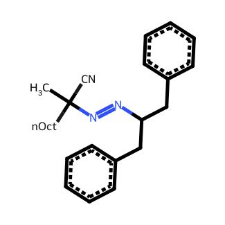 CCCCCCCCC(C)(C#N)N=NC(Cc1ccccc1)Cc1ccccc1